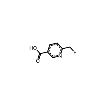 O=C(O)c1ccc(CF)nc1